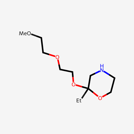 CCC1(OCCOCCOC)CNCCO1